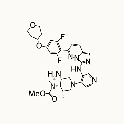 COC(=O)N(C)[C@@H]1[C@H](N)CN(c2ccncc2Nc2ncc3ccc(-c4c(F)cc(OC5CCOCC5)cc4F)nn23)C[C@@H]1C